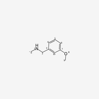 [CH2]NCc1cccc(OC)c1